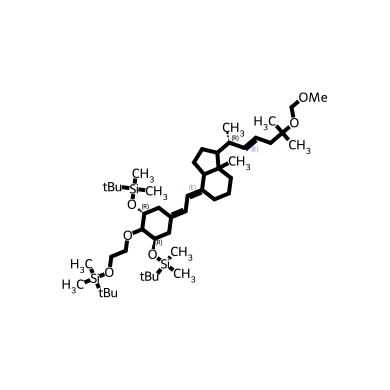 COCOC(C)(C)C/C=C/[C@@H](C)C1CCC2/C(=C/C=C3C[C@@H](O[Si](C)(C)C(C)(C)C)C(OCCO[Si](C)(C)C(C)(C)C)[C@H](O[Si](C)(C)C(C)(C)C)C3)CCCC21C